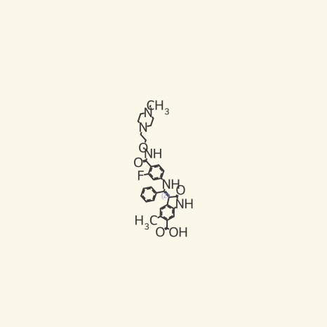 Cc1cc2c(cc1C(=O)O)NC(=O)/C2=C(\Nc1ccc(C(=O)NOCCN2CCN(C)CC2)c(F)c1)c1ccccc1